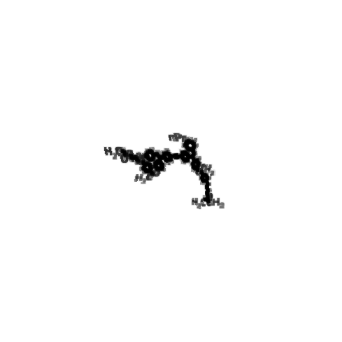 C=CC(=C)OCCCCc1ccc(C(=C)Oc2ccc(C(CC3CCC(CCC)CC3)c3ccc(C#Cc4ccc(C(CC5CCC(CCC)CC5)c5ccc(OC(=C)c6ccc(OCCCOC(=O)C=C)cc6)cc5)cc4)cc3)cc2)cc1